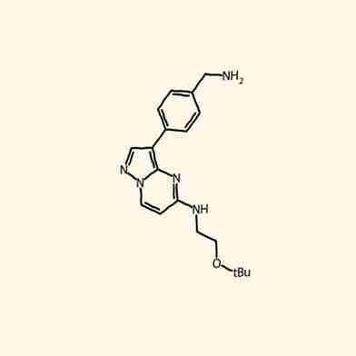 CC(C)(C)OCCNc1ccn2ncc(-c3ccc(CN)cc3)c2n1